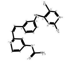 NC(=O)Oc1ccnc(/C=C\c2cccc(Nc3nc(Cl)ncc3Cl)c2)c1